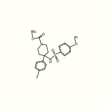 CC(C)Oc1ccc(S(=O)(=O)NC2(c3ccc(F)cc3)CCN(C(=O)OC(C)(C)C)CC2)cc1